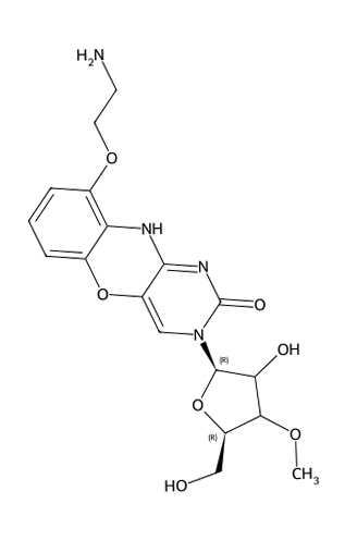 COC1C(O)[C@H](n2cc3c(nc2=O)Nc2c(OCCN)cccc2O3)O[C@@H]1CO